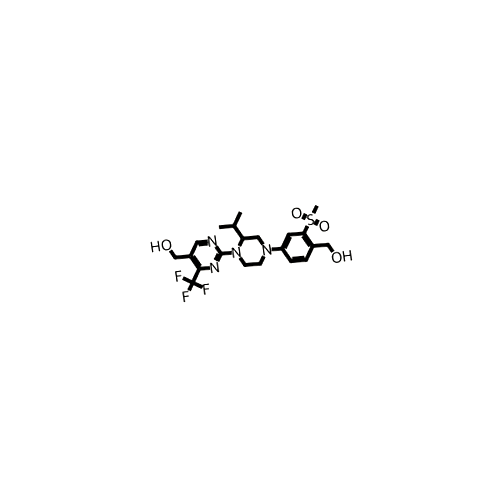 CC(C)C1CN(c2ccc(CO)c(S(C)(=O)=O)c2)CCN1c1ncc(CO)c(C(F)(F)F)n1